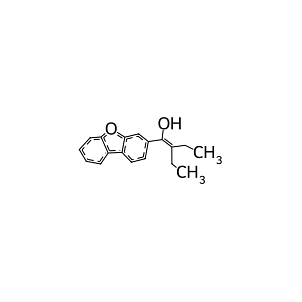 CCC(CC)=C(O)c1ccc2c(c1)oc1ccccc12